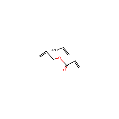 C=CCOC(=O)C=C.C=COC(C)=O